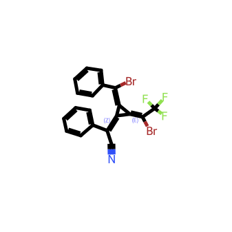 N#C/C(=C1/C(=C(Br)c2ccccc2)/C1=C(/Br)C(F)(F)F)c1ccccc1